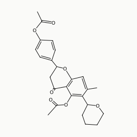 CC(=O)Oc1ccc(C2CC(=O)c3c(cc(C)c(C4CCCCO4)c3OC(C)=O)O2)cc1